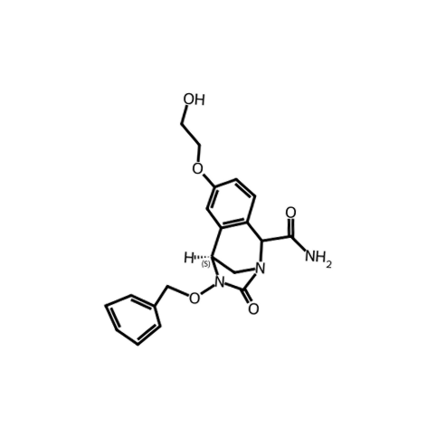 NC(=O)C1c2ccc(OCCO)cc2[C@H]2CN1C(=O)N2OCc1ccccc1